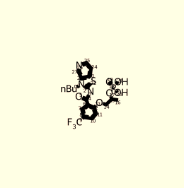 CCCCn1c(=NC(=O)c2cc(C(F)(F)F)ccc2OCC(C)OP(=O)(O)O)sc2ccncc21